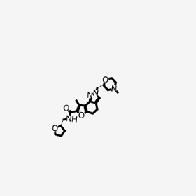 Cc1c(C(=O)NC[C@@H]2CCCO2)oc2c1-c1nn(C[C@H]3CN(C)CCO3)cc1CC2